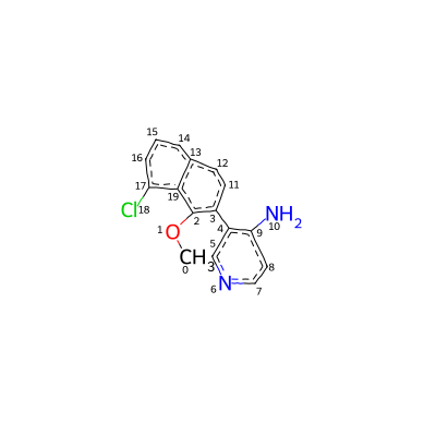 COc1c(-c2cnccc2N)ccc2cccc(Cl)c12